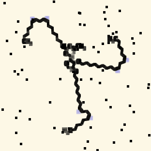 CCCCC/C=C\C/C=C\CCCCCCCCO[C@H]1[C@@H]([C@@H](CN(C)C)OCCCCCCCC/C=C\C/C=C\CCCCC)OC[C@@H]1OCCCCCCCC/C=C\C/C=C\CCCCC